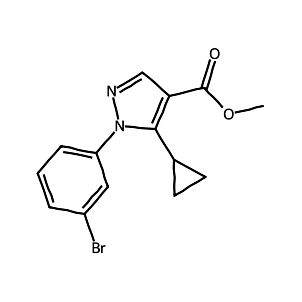 COC(=O)c1cnn(-c2cccc(Br)c2)c1C1CC1